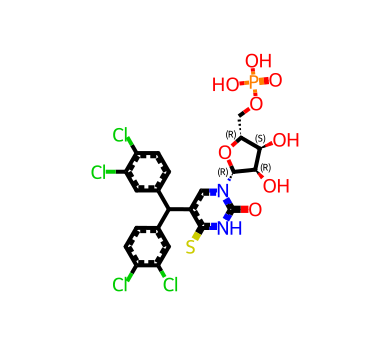 O=c1[nH]c(=S)c(C(c2ccc(Cl)c(Cl)c2)c2ccc(Cl)c(Cl)c2)cn1[C@@H]1O[C@H](COP(=O)(O)O)[C@@H](O)[C@H]1O